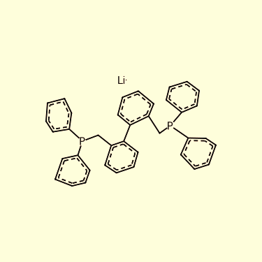 [Li].c1ccc(P(Cc2ccccc2-c2ccccc2CP(c2ccccc2)c2ccccc2)c2ccccc2)cc1